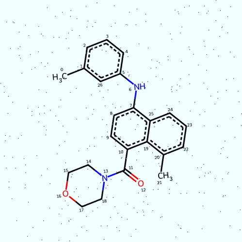 Cc1cccc(Nc2ccc(C(=O)N3CCOCC3)c3c(C)cccc23)c1